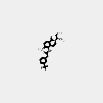 Cc1ccc2c(=O)n([C@H](C)CO)ccc2c1NC(=O)Cc1cccc(C(F)(F)F)c1